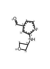 O=Cc1ccnc(NC2COC2)c1